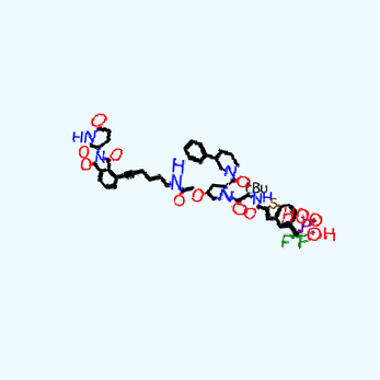 CC(C)(C)[C@H](NC(=O)c1cc2cc(C(F)(F)P(=O)(O)O)ccc2s1)C(=O)N1C[C@@H](OCC(=O)NCCCCC#Cc2cccc3c2C(=O)N(C2CCC(=O)NC2=O)C3=O)C[C@H]1C(=O)N1CCCC(c2ccccc2)C1